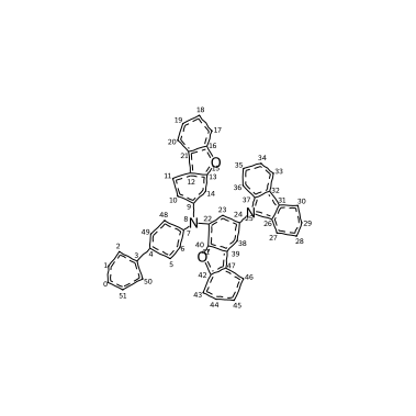 c1ccc(-c2ccc(N(c3ccc4c(c3)oc3ccccc34)c3cc(-n4c5ccccc5c5ccccc54)cc4c3oc3ccccc34)cc2)cc1